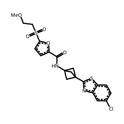 COCCS(=O)(=O)c1ccc(C(=O)NC23CC(c4nc5cc(Cl)ccc5s4)(C2)C3)o1